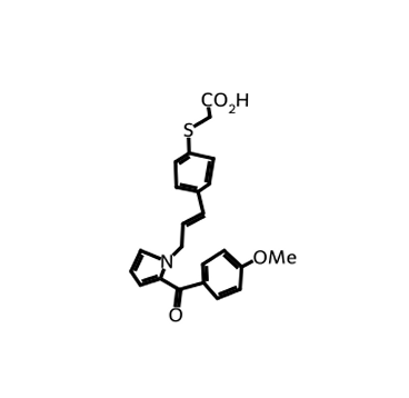 COc1ccc(C(=O)c2cccn2CC=Cc2ccc(SCC(=O)O)cc2)cc1